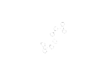 c1ccc2c(c1)c1ccccc1n2-c1ccc2c(c1)-c1cc(-c3ccc4c(c3)-c3cc(-n5c6ccccc6c6ccccc65)ccc3C4)ccc1C2